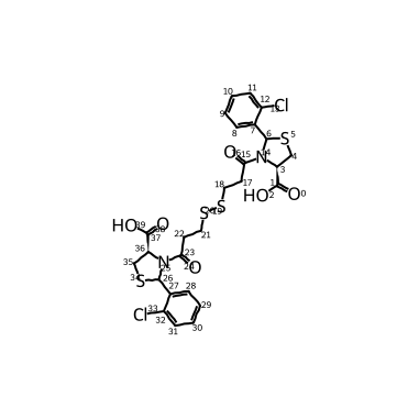 O=C(O)[C@@H]1CSC(c2ccccc2Cl)N1C(=O)CCSSCCC(=O)N1C(c2ccccc2Cl)SC[C@H]1C(=O)O